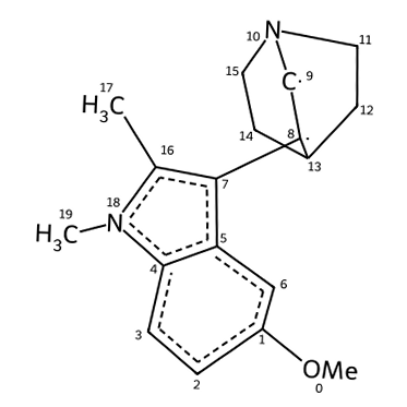 COc1ccc2c(c1)c([C]1[CH]N3CCC1CC3)c(C)n2C